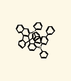 c1ccc(-c2ccc(N(c3ccccc3)c3cccc4c3-c3ccccc3C43c4ccccc4-c4c3c(N(c3ccccc3)c3ccccc3)cc3ccccc43)cc2)cc1